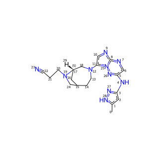 Cc1cc(Nc2cnc3ncc(N4CCC5C[C@@H](C4)N(CCC#N)C5)n3n2)n[nH]1